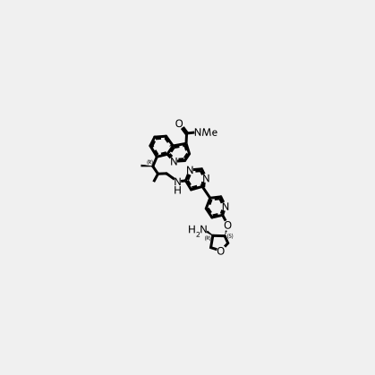 CNC(=O)c1ccnc2c([C@H](C)C(C)CNc3cc(-c4ccc(O[C@@H]5COC[C@H]5N)nc4)ncn3)cccc12